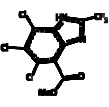 COC(=O)c1c(Cl)c(Cl)c(Cl)c2[nH]c(C(F)(F)F)nc12